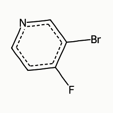 Fc1ccncc1Br